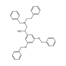 OC(CN(CCc1ccccc1)Cc1ccccc1)c1cc(OCc2ccccc2)cc(OCc2ccccc2)c1